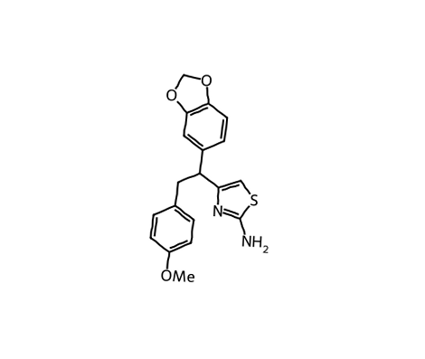 COc1ccc(CC(c2ccc3c(c2)OCO3)c2csc(N)n2)cc1